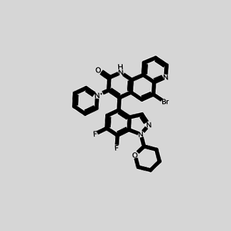 O=c1[nH]c2c(cc(Br)c3ncccc32)c(-c2cc(F)c(F)c3c2cnn3C2CCCCO2)c1-[n+]1ccccc1